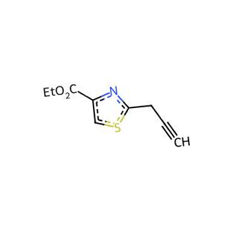 C#CCc1nc(C(=O)OCC)cs1